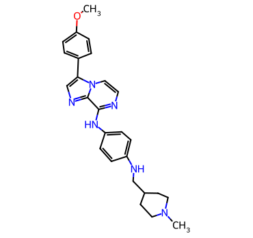 COc1ccc(-c2cnc3c(Nc4ccc(NCC5CCN(C)CC5)cc4)nccn23)cc1